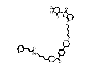 O=C(/C=C/c1cccnc1)NCCCCC1CCN(C(=O)c2ccc(C3CCN(CCCCCOc4cccc5c4CN(C4CCC(=O)NC4=O)C5=O)CC3)cc2)CC1